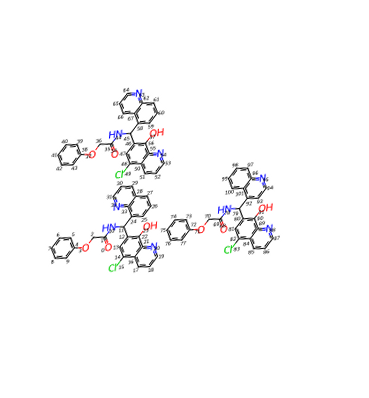 O=C(COc1ccccc1)NC(c1cc(Cl)c2cccnc2c1O)c1cccc2cccnc12.O=C(COc1ccccc1)NC(c1cc(Cl)c2cccnc2c1O)c1cccc2ncccc12.O=C(COc1ccccc1)NC(c1cc(Cl)c2cccnc2c1O)c1ccnc2ccccc12